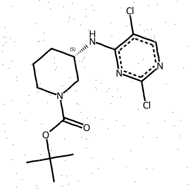 CC(C)(C)OC(=O)N1CCC[C@H](Nc2nc(Cl)ncc2Cl)C1